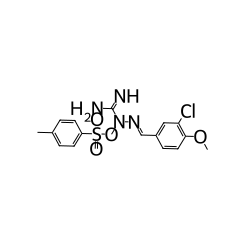 COc1ccc(C=NN(OS(=O)(=O)c2ccc(C)cc2)C(=N)N)cc1Cl